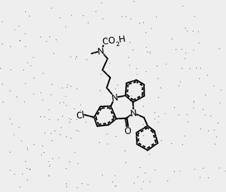 CN(CCCCN1c2cc(Cl)ccc2C(=O)N(Cc2ccccc2)c2ccccc21)C(=O)O